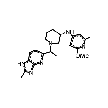 COc1cc(N[C@H]2CCCN(C(C)c3ccc4[nH]c(C)nc4n3)C2)cc(C)n1